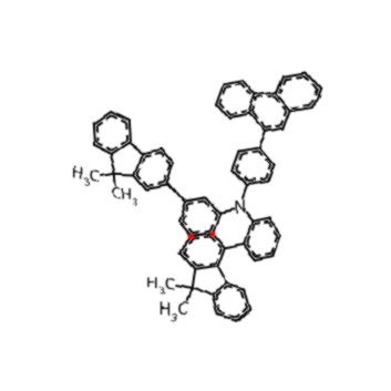 CC1(C)c2ccccc2-c2ccc(-c3cccc(N(c4ccc(-c5cc6ccccc6c6ccccc56)cc4)c4ccccc4-c4cccc5c4-c4ccccc4C5(C)C)c3)cc21